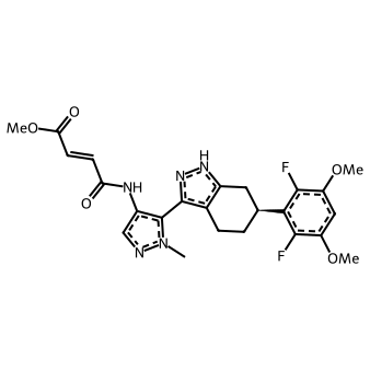 COC(=O)/C=C/C(=O)Nc1cnn(C)c1-c1n[nH]c2c1CC[C@H](c1c(F)c(OC)cc(OC)c1F)C2